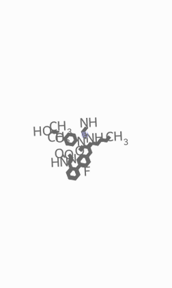 CCCCC1=C(Cc2ccc(-c3ccccc3-c3noc(=O)[nH]3)c(F)c2)C(=O)N([C@H]2CC[C@H](OCC(C)(C)O)CC2)/C(=C/C=N)N1